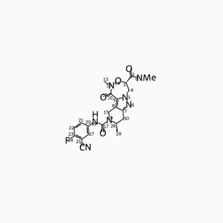 CNC(=O)[C@H]1Cn2nc3c(c2C(=O)N(C)O1)CN(C(=O)Nc1ccc(F)c(C#N)c1)[C@H](C)C3